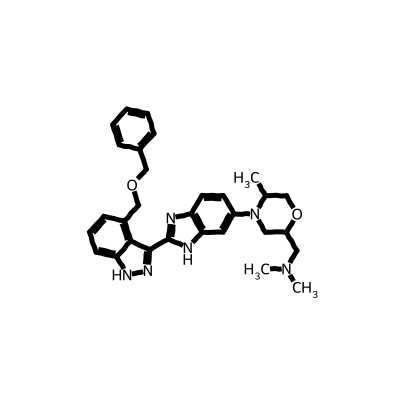 CC1COC(CN(C)C)CN1c1ccc2nc(-c3n[nH]c4cccc(COCc5ccccc5)c34)[nH]c2c1